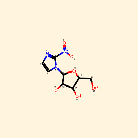 O=[N+]([O-])c1nccn1C1OC(CO)C(O)C1O